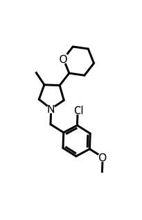 COc1ccc(CN2CC(C)C(C3CCCCO3)C2)c(Cl)c1